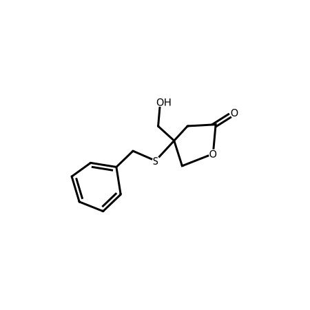 O=C1CC(CO)(SCc2ccccc2)CO1